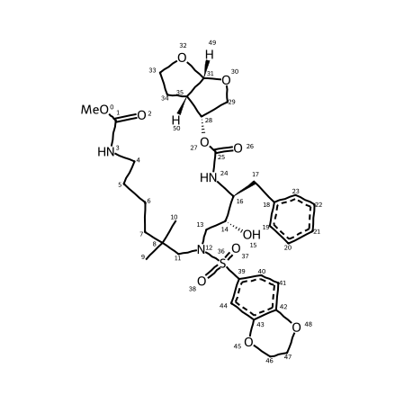 COC(=O)NCCCCC(C)(C)CN(C[C@@H](O)[C@H](Cc1ccccc1)NC(=O)O[C@H]1CO[C@H]2OCC[C@H]21)S(=O)(=O)c1ccc2c(c1)OCCO2